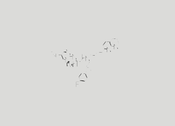 CC(=O)[C@H](CCN(CCCCc1ccc2c(n1)NCCC2)CCOc1ccc(F)cc1)Nc1ncc(Br)c[n+]1O